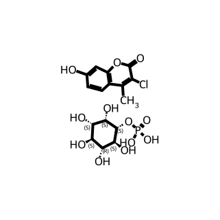 Cc1c(Cl)c(=O)oc2cc(O)ccc12.O=P(O)(O)O[C@@H]1[C@@H](O)[C@H](O)[C@@H](O)[C@H](O)[C@@H]1O